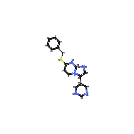 c1ccc(CSc2ccn3c(-c4cncnc4)cnc3n2)cc1